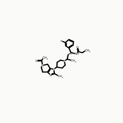 CCC(=O)N[C@@H](CC(C)N1CCC(n2c(C)nc3c2CN(C(C)=O)CC3)CC1)c1cccc(F)c1